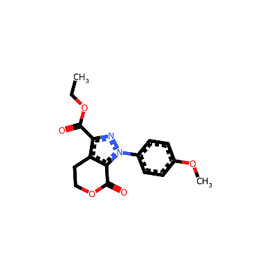 CCOC(=O)c1nn(-c2ccc(OC)cc2)c2c1CCOC2=O